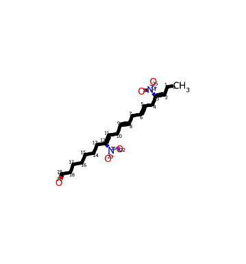 CC/C=C(/C/C=C/C/C=C/C/C=C(/CCCCCC[C]=O)[N+](=O)[O-])[N+](=O)[O-]